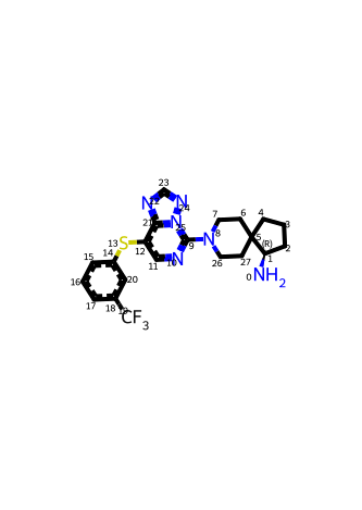 N[C@@H]1CCCC12CCN(c1ncc(Sc3cccc(C(F)(F)F)c3)c3ncnn13)CC2